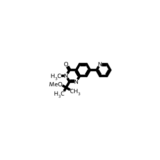 COC(C)(C)c1nc2cc(-c3ccccn3)ccc2c(=O)n1C